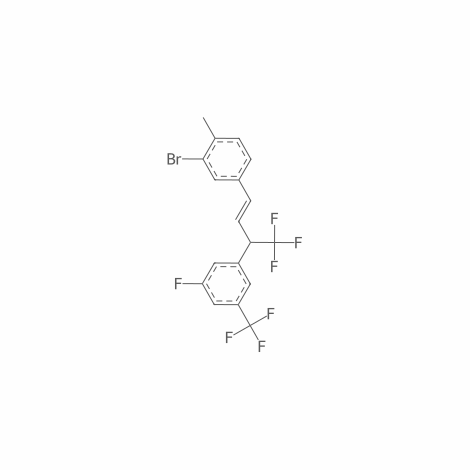 Cc1ccc(/C=C/C(c2cc(F)cc(C(F)(F)F)c2)C(F)(F)F)cc1Br